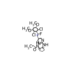 C=CC(=O)N[C@@H]1CCC[C@@H]1Nc1ncc(/C=C(\F)c2c(Cl)c(OC)cc(OC)c2Cl)cn1